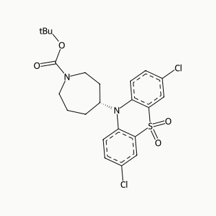 CC(C)(C)OC(=O)N1CCC[C@@H](N2c3ccc(Cl)cc3S(=O)(=O)c3cc(Cl)ccc32)CC1